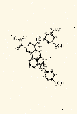 CCN(CC)C(=O)[C@@H]1C=C2c3cccc4[nH]cc(c34)C[C@H]2N(C)C1.O=C(O)c1cc(O)cc(C(=O)O)c1.O=C(O)c1ccc(C(=O)O)cc1